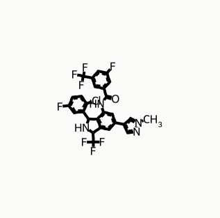 Cn1cc(-c2cc(NC(=O)c3cc(F)cc(C(F)(F)F)c3)c3c(c2)C(C(F)(F)F)NC3c2cc(F)ccc2Cl)cn1